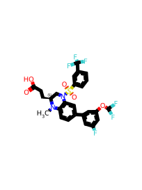 CN1c2ccc(-c3cc(F)cc(OC(F)F)c3)cc2N(S(=O)(=O)c2cccc(C(F)(F)F)c2)C[C@@H]1CCC(=O)O